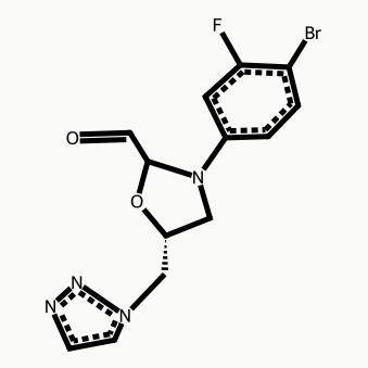 O=CC1O[C@@H](Cn2ccnn2)CN1c1ccc(Br)c(F)c1